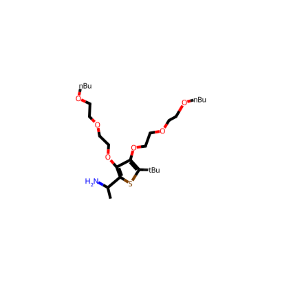 CCCCOCCOCCOc1c(C(C)N)sc(C(C)(C)C)c1OCCOCCOCCCC